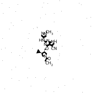 C=CC(=O)N1C[C@@H](COc2nc(Nc3cnn(C)c3)nc3[nH]cc(C#N)c23)[C@H](C2CC2)C1